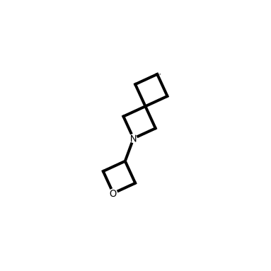 [CH]1CC2(C1)CN(C1COC1)C2